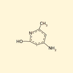 Cc1cc(N)[c]c(O)n1